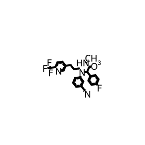 CNC(=O)C(c1ccc(F)cc1)N(CCCc1ccc(C(F)(F)F)nc1)c1cccc(C#N)c1